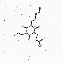 CCCn1c(=O)n(CCOC=O)c(=O)n(CCC(=O)O)c1=O